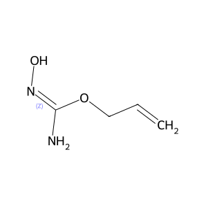 C=CCO/C(N)=N\O